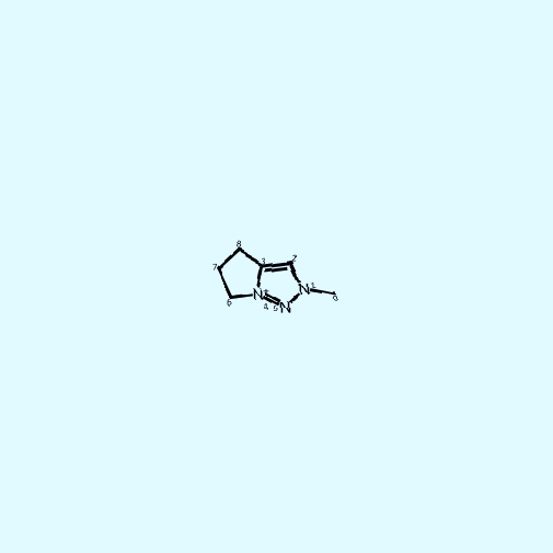 Cn1cc2[n+](n1)CCC2